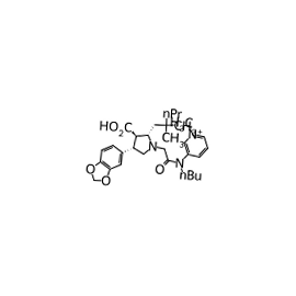 CCCCN(C(=O)CN1C[C@H](c2ccc3c(c2)OCO3)[C@@H](C(=O)O)[C@@H]1CC(C)(C)CCC)c1ccc[n+](C)c1